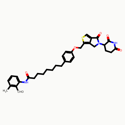 Cc1cccc(NC(=O)CCCCCCCc2ccc(OCc3scc4c3CN(C3CCC(=O)NC3=O)C4=O)cc2)c1C=O